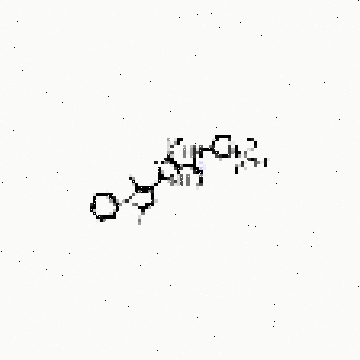 C=Nc1nc(-c2cc(C)n(-c3ccccc3)c2C)[nH]c1/C(=C\C)NC1CCN(S(=O)(=O)CC)C1